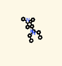 C1=CCCC(c2cccc(-c3cc(-c4ccc(C5=c6ccccc6=C6N=C(c7ccccc7)CC(c7ccccc7)C65)cc4)nc(-c4cccc(C5=CC=CCC5)c4)n3)c2)=C1